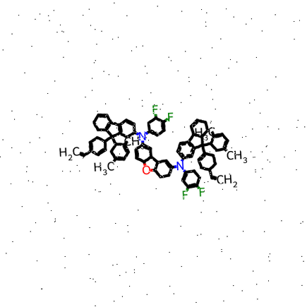 C=CC1=CCC(C2(C3CC(C)=CC=C3C)C3=C(C=CCC3)C3=C2CC(N(C2=CC4C(C=C2)OC2CCC(N(C5=CC(F)=C(F)CC5)c5ccc6c(c5)C(C5=CCC(C=C)CC5)(C5CC(C)=CC=C5C)C5CCC=CC65)=CC24)C2=CC=C(F)C(F)C2)C=C3)C=C1